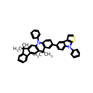 CC1(C)c2ccccc2-c2cc3c(cc21)N(c1ccccc1)c1ccc(-c2ccc4c(c2)c2ccsc2n4-c2ccccc2)cc1C3(C)C